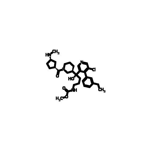 CCc1cccc(-c2c(Cl)cncc2[C@](O)(CCCNC(=O)OC)[C@@H]2CCCN(C(=O)[C@@H]3CC[C@H](NC)C3)C2)c1